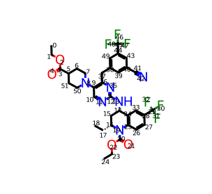 CCOC(=O)C1CCN(c2cnc(N[C@H]3C[C@@H](CC)N(C(=O)OCC)c4ccc(C(F)(F)F)cc43)nc2Cc2cc(C#N)cc(C(F)(F)F)c2)CC1